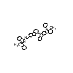 C=N/C(=N\C(=N/CC1=CC2Cc3c(cccc3-n3c4ccccc4c4cc5c6c(n(-c7ccccc7)c5cc43)C(C)CC=C6)C2C=C1)c1ccccc1)c1ccccc1